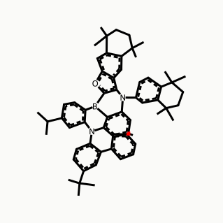 Cc1cc2c3c(c1)N(c1ccc4c(c1)C(C)(C)CCC4(C)C)c1c(oc4cc5c(cc14)C(C)(C)CCC5(C)C)B3c1ccc(C(C)C)cc1N2c1ccc(C(C)(C)C)cc1-c1ccccc1